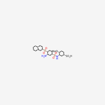 COc1ccc(S(=O)(=O)O)cc1NS(=O)(=O)c1ccc(S(=O)(=O)c2ccc3ccccc3c2)c(N)c1